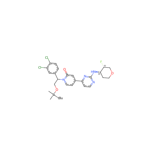 CC(C)(C)[Si](C)(C)OCC(c1ccc(Cl)c(Cl)c1)n1ccc(-c2ccnc(N[C@@H]3CCOC[C@H]3F)n2)cc1=O